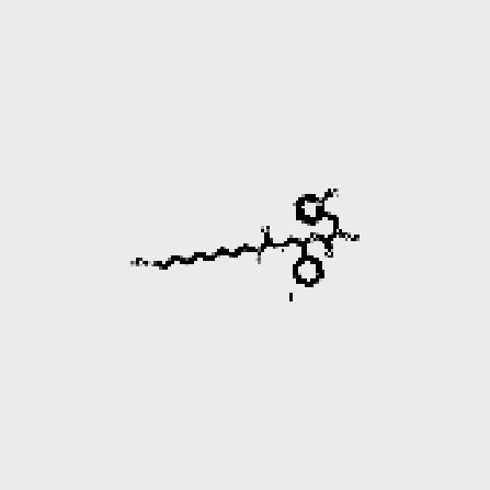 CCCCCCCCCCCCCCCCCCNC(=O)OCC(OC(=O)N(Cc1cccc[n+]1CC)C(C)=O)C1CCCCC1.[I-]